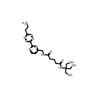 NCCc1nnc(-c2nccc(CNC(=O)CCCC(=O)NC(CO)(CO)CO)n2)nn1